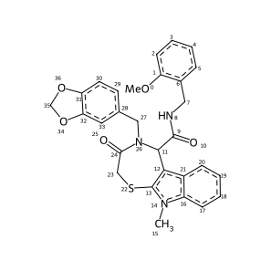 COc1ccccc1CNC(=O)C1c2c(n(C)c3ccccc23)SCC(=O)N1Cc1ccc2c(c1)OCO2